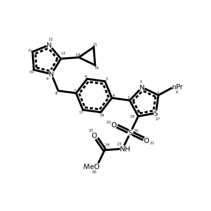 CCCc1nc(-c2ccc(Cn3ccnc3C3CC3)cc2)c(S(=O)(=O)NC(=O)OC)s1